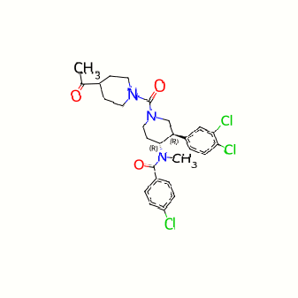 CC(=O)C1CCN(C(=O)N2CC[C@@H](N(C)C(=O)c3ccc(Cl)cc3)[C@H](c3ccc(Cl)c(Cl)c3)C2)CC1